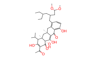 CCC(CC)CC(Cc1ccc(O)c2c1C[C@]1(C)C[C@]3(C)C(C(C)C)C(O)=C(C(C)=O)C(=O)[C@]3(O)C(O)=C1C2=O)CC(OC)OC